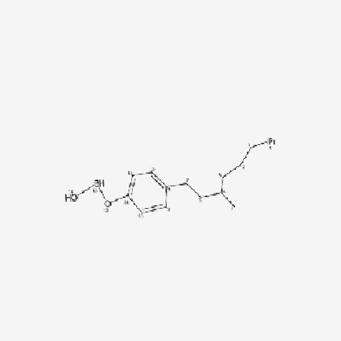 CC(C)CCCC(C)CCc1ccc(OBO)cc1